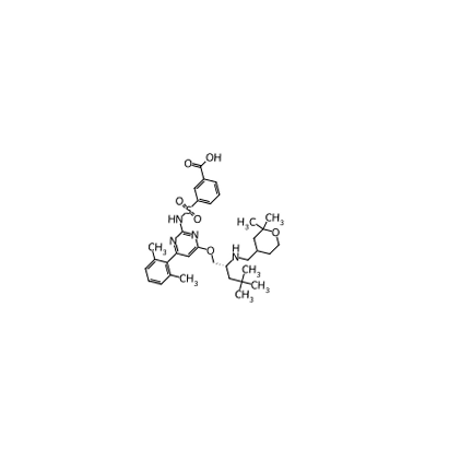 Cc1cccc(C)c1-c1cc(OC[C@@H](CC(C)(C)C)NCC2CCOC(C)(C)C2)nc(NS(=O)(=O)c2cccc(C(=O)O)c2)n1